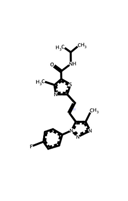 Cc1nc(/C=C/c2c(C)nnn2-c2ccc(F)cc2)sc1C(=O)NC(C)C